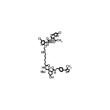 CO[C@@H](C)c1c(NC(=O)Nc2cc(Cl)cnc2OCCNCCCCCCC(=O)N[C@H](C(=O)N2C[C@@H](O)C[C@@H]2C(=O)NCc2ccc(-c3scnc3C)cc2)C(C)(C)C)cnc2cc(Cl)nn12